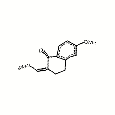 COC=C1CCc2cc(OC)ccc2C1=O